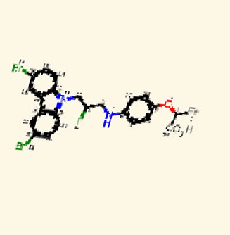 CCC(Oc1ccc(NCC(F)Cn2c3ccc(Br)cc3c3cc(Br)ccc32)cc1)C(=O)O